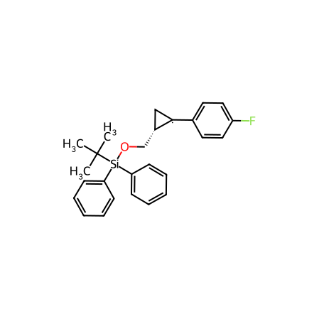 CC(C)(C)[Si](OC[C@@H]1C[C]1c1ccc(F)cc1)(c1ccccc1)c1ccccc1